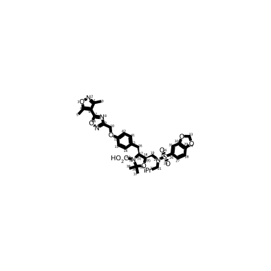 Cc1noc(C)c1-c1nc(COc2ccc(C[C@H]3[C@@H](CN(CC(C)C)S(=O)(=O)c4ccc5c(c4)OCO5)OC(C)(C)N3C(=O)O)cc2)no1